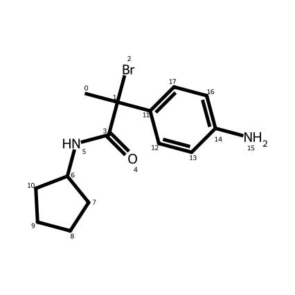 CC(Br)(C(=O)NC1CCCC1)c1ccc(N)cc1